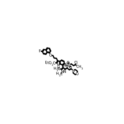 CCOC(=O)c1[nH]c2c(-c3c(C(CCN4CCOCC4)NS(=O)(=O)CCC(C)Cl)nn(C)c3C)c(Cl)ccc2c1CCCOc1cccc2cc(F)ccc12